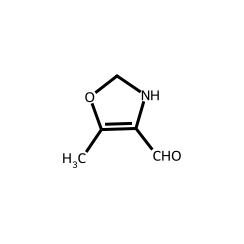 CC1=C(C=O)NCO1